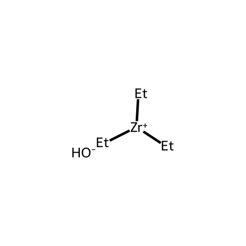 C[CH2][Zr+]([CH2]C)[CH2]C.[OH-]